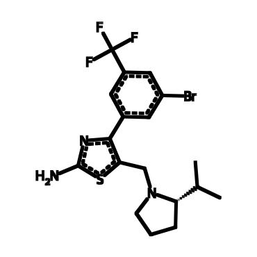 CC(C)[C@@H]1CCCN1Cc1sc(N)nc1-c1cc(Br)cc(C(F)(F)F)c1